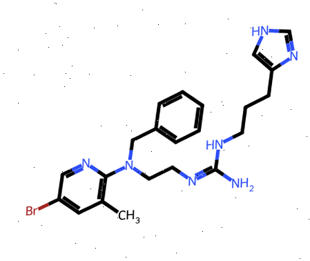 Cc1cc(Br)cnc1N(CCN=C(N)NCCCc1c[nH]cn1)Cc1ccccc1